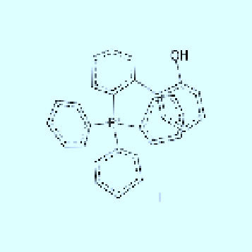 Oc1ccccc1-c1ccccc1[P+](c1ccccc1)(c1ccccc1)c1ccccc1.[I-]